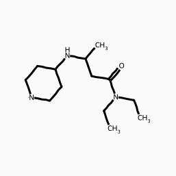 CCN(CC)C(=O)CC(C)NC1CC[N]CC1